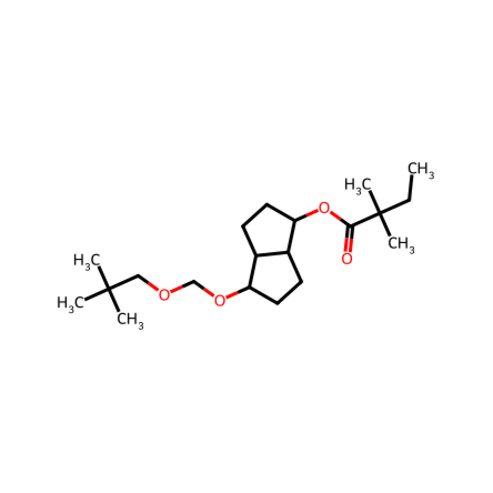 CCC(C)(C)C(=O)OC1CCC2C(OCOCC(C)(C)C)CCC12